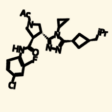 CC(=O)N1C[C@H](C(=O)Nc2ccc(Cl)cc2F)[C@@H](c2nnc([C@H]3C[C@@H](CC(C)C)C3)n2C2CC2)C1